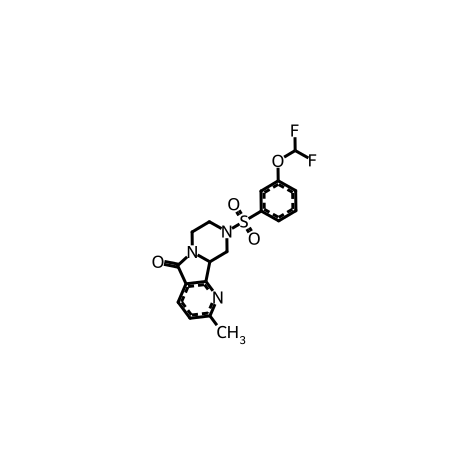 Cc1ccc2c(n1)C1CN(S(=O)(=O)c3cccc(OC(F)F)c3)CCN1C2=O